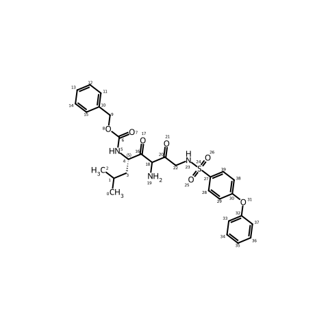 CC(C)C[C@H](NC(=O)OCc1ccccc1)C(=O)C(N)C(=O)CNS(=O)(=O)c1ccc(Oc2ccccc2)cc1